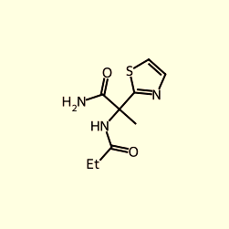 CCC(=O)NC(C)(C(N)=O)c1nccs1